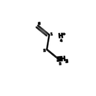 C=CC[SiH3].[H+]